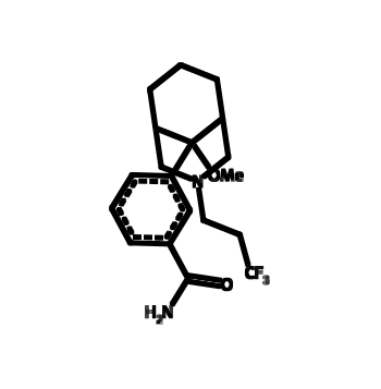 COC1(c2cccc(C(N)=O)c2)C2CCCC1CN(CCC(F)(F)F)C2